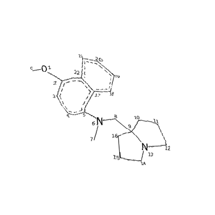 COc1ccc(N(C)CC23CCCN2CCC3)c2ccccc12